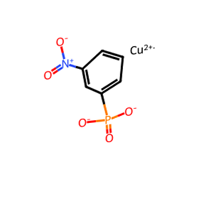 O=[N+]([O-])c1cccc(P(=O)([O-])[O-])c1.[Cu+2]